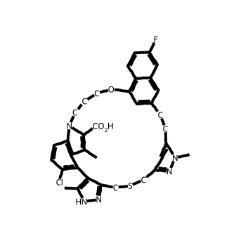 Cc1[nH]nc2c1-c1c(Cl)ccc3c1c(C)c(C(=O)O)n3CCCOc1cc(cc3cc(F)ccc13)CCc1cc(nn1C)CSC2